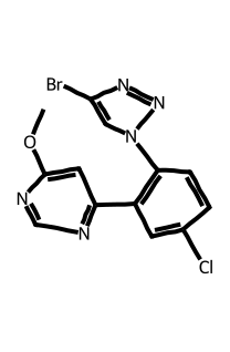 COc1cc(-c2cc(Cl)ccc2-n2cc(Br)nn2)ncn1